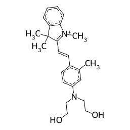 Cc1cc(N(CCO)CCO)ccc1/C=C/C1=[N+](C)c2ccccc2C1(C)C